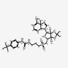 CC1(C)O[C@@H]2[C@H](O1)[C@@H](CS(=O)(=O)CCCNC(=O)Nc1ccc(C(C)(C)C)cc1)O[C@H]2N1C=NC2(C)C(N)=NC=NC12